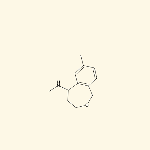 CNC1CCOCc2ccc(C)cc21